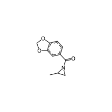 CC1CN1C(=O)c1ccc2c(c1)OCO2